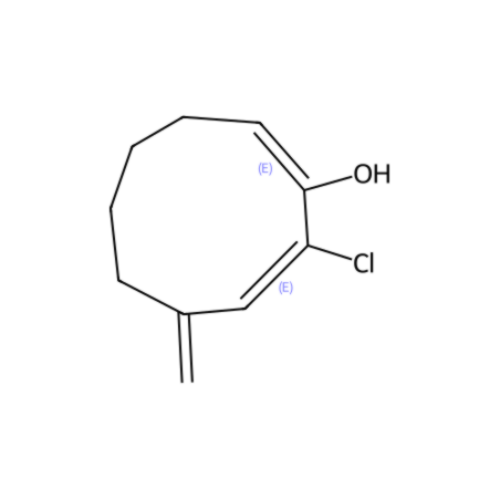 C=C1/C=C(Cl)\C(O)=C/CCCC1